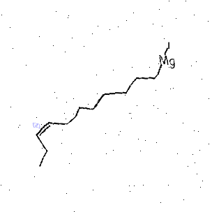 CC/C=C\CCCCCC[CH2][Mg][I]